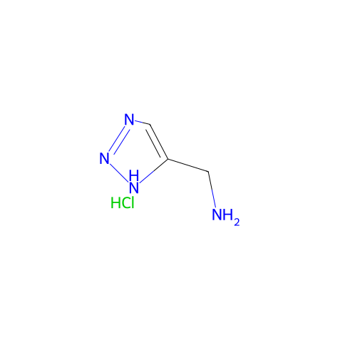 Cl.NCc1cnn[nH]1